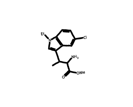 CCn1cc(C(C)C(N)C(=O)OC)c2cc(Cl)ccc21